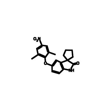 Cc1cc([N+](=O)[O-])cc(C)c1Oc1ccc2c(c1)C1(CCCC1)C(=O)N2